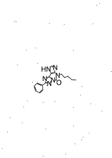 CCCCCn1c(=O)n2nc(-c3ccccc3)nc2c2[nH]cnc21